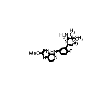 COc1cnc2c(Nc3ccc(F)c(C4CS(=O)(=O)C(C)(C)C(N)=N4)c3)nccc2n1